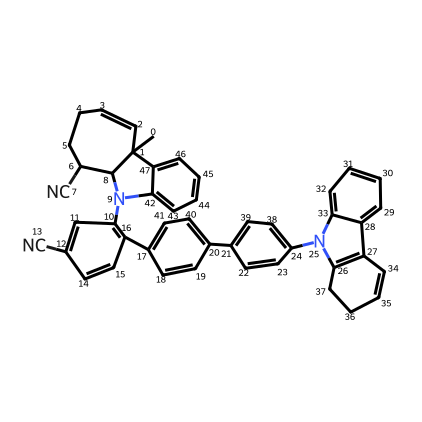 CC12C=CCCC(C#N)C1N(c1cc(C#N)ccc1-c1ccc(-c3ccc(-n4c5c(c6ccccc64)C=CCC5)cc3)cc1)c1ccccc12